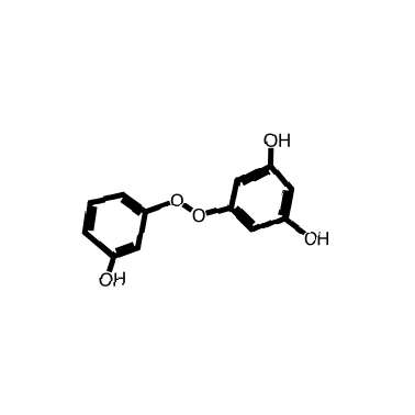 Oc1cccc(OOc2cc(O)cc(O)c2)c1